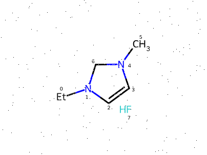 CCN1C=CN(C)C1.F